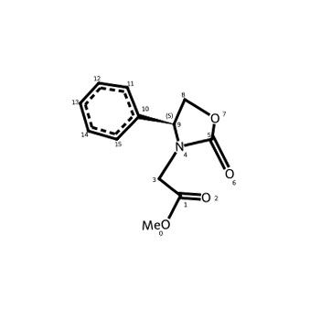 COC(=O)CN1C(=O)OC[C@@H]1c1ccccc1